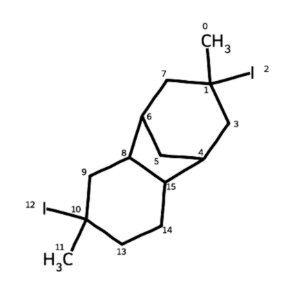 CC1(I)CC2CC(C1)C1CC(C)(I)CCC21